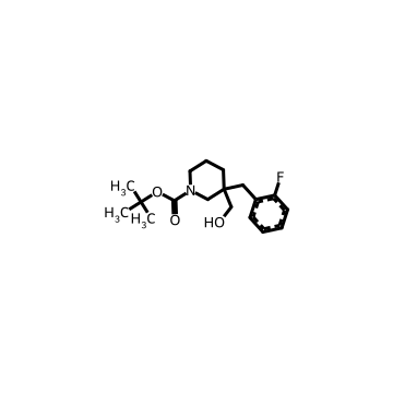 CC(C)(C)OC(=O)N1CCCC(CO)(Cc2ccccc2F)C1